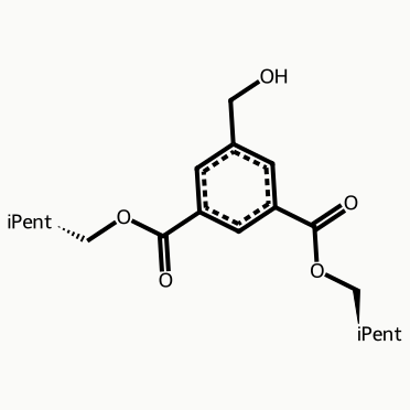 CCC[C@@H](C)COC(=O)c1cc(CO)cc(C(=O)OC[C@H](C)CCC)c1